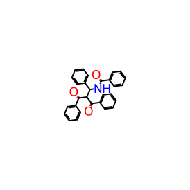 O=C(NC(c1ccccc1)C(C(=O)c1ccccc1)C(=O)c1ccccc1)c1ccccc1